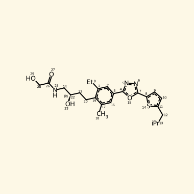 CCc1cc(-c2nnc(-c3ccc(CC(C)C)s3)o2)cc(C)c1CC[C@@H](O)CNC(=O)CO